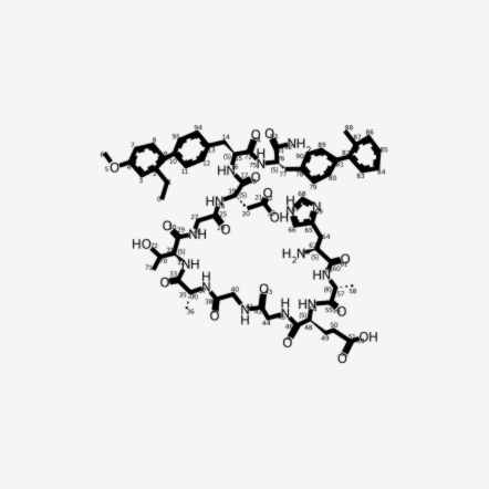 CCc1cc(OC)ccc1-c1ccc(C[C@H](NC(=O)[C@H](CC(=O)O)NC(=O)CNC(=O)[C@@H](NC(=O)[C@@H](C)NC(=O)CNC(=O)CNC(=O)[C@H](CCC(=O)O)NC(=O)[C@@H](C)NC(=O)[C@@H](N)Cc2c[nH]cn2)C(C)O)C(=O)N[C@@H](Cc2ccc(-c3ccccc3C)cc2)C(N)=O)cc1